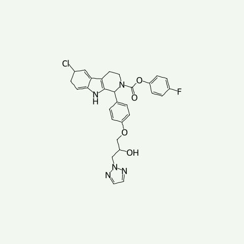 O=C(Oc1ccc(F)cc1)N1CCc2c([nH]c3c2=CC(Cl)CC=3)C1c1ccc(OCC(O)Cn2nccn2)cc1